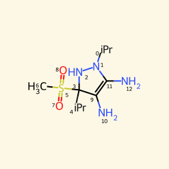 CC(C)N1NC(C(C)C)(S(C)(=O)=O)C(N)=C1N